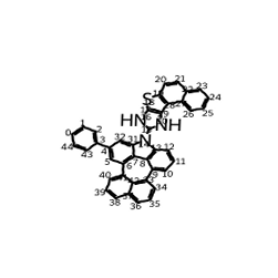 c1ccc(-c2cc3c4c5c(cccc5n(C5Nc6sc7ccc8ccccc8c7c6N5)c4c2)-c2cccc4cccc-3c24)cc1